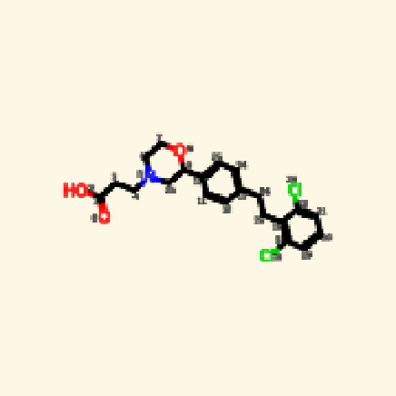 O=C(O)CCN1CCOC(c2ccc(CCc3c(Cl)cccc3Cl)cc2)C1